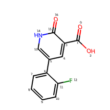 O=C(O)c1cc(-c2ccccc2F)c[nH]c1=O